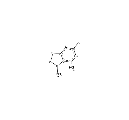 Cc1ccc2c(c1)CCC2N.Cl